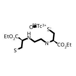 CCOC(=O)[C@H](C[S-])[N-]CCN[C@@H](C[S-])C(=O)OCC.[O]=[99Tc+3]